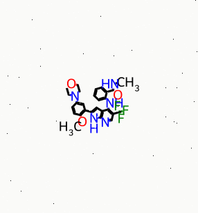 CNC(=O)c1ccccc1Nc1c(C(F)(F)F)cnc2[nH]c(-c3cc(N4CCOCC4)ccc3OC)cc12